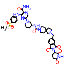 CS(=O)(=O)c1ccc(Nc2nc(N3CCC[C@@H](NC(=O)N4CCC5(CCN(Cc6ccc7c(c6)C(=O)N(C6CCC(=O)NC6=O)C7=O)C5)CC4)C3)cnc2C(N)=O)cc1